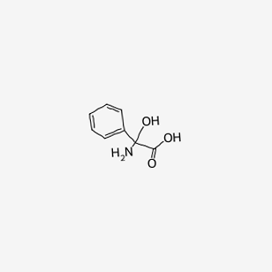 NC(O)(C(=O)O)c1ccccc1